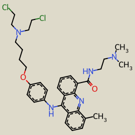 Cc1cccc2c(Nc3ccc(OCCCCN(CCCl)CCCl)cc3)c3cccc(C(=O)NCCN(C)C)c3nc12